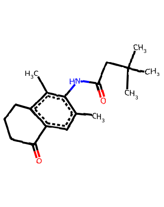 Cc1cc2c(c(C)c1NC(=O)CC(C)(C)C)CCCC2=O